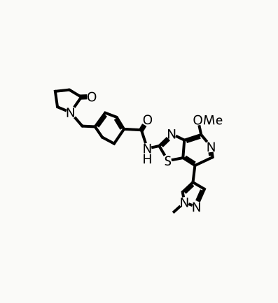 COc1ncc(-c2cnn(C)c2)c2sc(NC(=O)C3=CC=C(CN4CCCC4=O)CC3)nc12